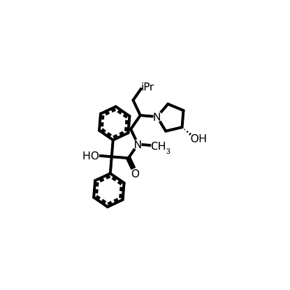 CC(C)CC(CN(C)C(=O)C(O)(c1ccccc1)c1ccccc1)N1CC[C@H](O)C1